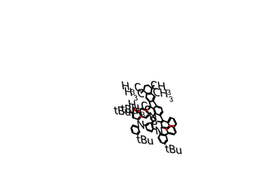 CC(C)(C)c1ccc(N2B3c4cc(N(c5cccc(C(C)(C)C)c5)c5cccc(C(C)(C)C)c5)ccc4N(c4ccc(C(C)(C)C)cc4-c4ccccc4)c4cc5ccccc5c(c43)-c3ccc4c(c32)C(C)(C)c2cc3c(cc2-4)C(C)(C)CCC3(C)C)cc1